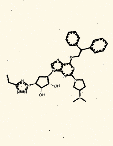 CCc1nnn([C@H]2C[C@@H](n3cnc4c(NCC(c5ccccc5)c5ccccc5)nc(N5CCC(N(C)C)C5)nc43)[C@H](O)[C@@H]2O)n1